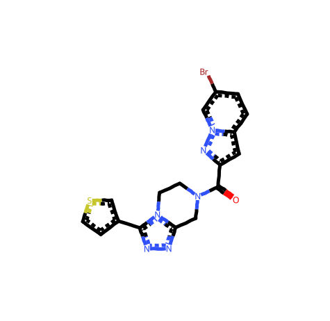 O=C(c1cc2ccc(Br)cn2n1)N1CCn2c(nnc2-c2ccsc2)C1